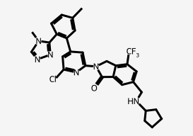 Cc1ccc(-c2nncn2C)c(-c2cc(Cl)nc(N3Cc4c(cc(CNC5CCCC5)cc4C(F)(F)F)C3=O)c2)c1